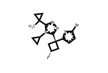 CC1(c2nnc([C@]3(c4ccc(Br)s4)C[C@@H](F)C3)n2C2CC2)CC1